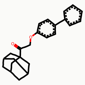 O=C(COc1ccc(-c2ccccc2)cc1)C12CC3CC(CC(C3)C1)C2